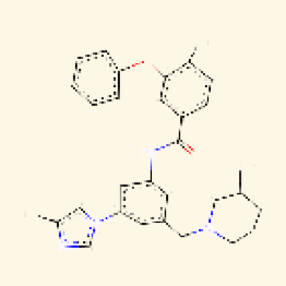 CNC1CCCN(Cc2cc(NC(=O)c3ccc(C)c(Oc4ccccc4)c3)cc(-n3cnc(C)c3)c2)C1